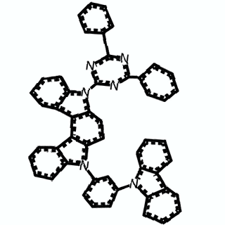 c1ccc(-c2nc(-c3ccccc3)nc(-n3c4ccccc4c4c5c6ccccc6n(-c6cccc(-n7c8ccccc8c8ccccc87)c6)c5ccc43)n2)cc1